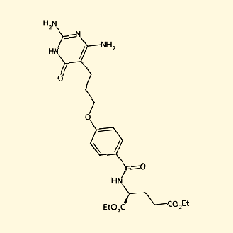 CCOC(=O)CC[C@H](NC(=O)c1ccc(OCCCc2c(N)nc(N)[nH]c2=O)cc1)C(=O)OCC